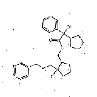 C[N+]1(CCCc2cncnc2)CCC[C@@H]1COC(=O)C(O)(c1ccccc1)C1CCCC1